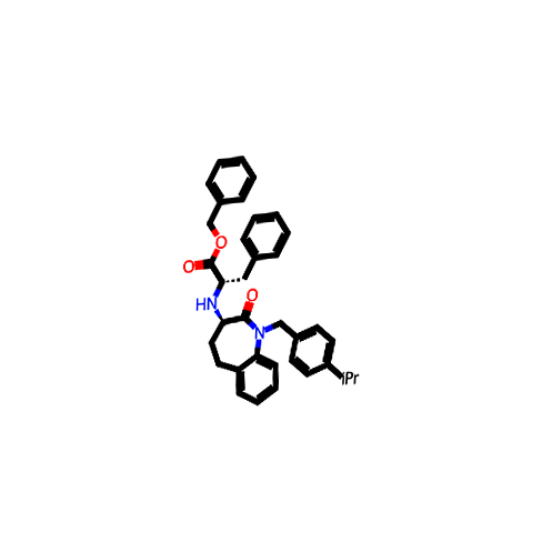 CC(C)c1ccc(CN2C(=O)[C@H](N[C@@H](Cc3ccccc3)C(=O)OCc3ccccc3)CCc3ccccc32)cc1